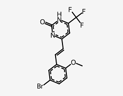 COc1ccc(Br)cc1C=Cc1cc(C(F)(F)F)[nH]c(=O)n1